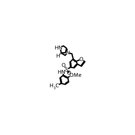 COc1ccc(C)cc1NS(=O)(=O)c1cc(CN2C[C@@H]3CC2CN3)c2occc2c1